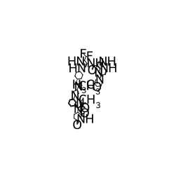 C[C@H]1CN(C2=N/C(=C(/C=N)C(=O)N/C(=C/N[C@H]3CC[C@H](CN(C)C4CN(c5cccc6c5n(C)c(=O)n6C5CCC(=O)NC5=O)C4)CC3)C(=N)C(F)F)NC=C2)CCO1